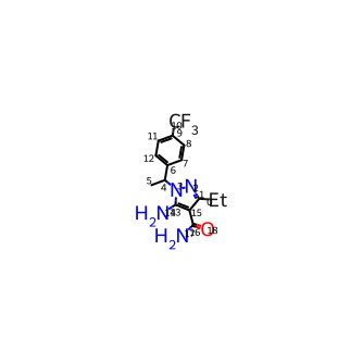 CCc1nn(C(C)c2ccc(C(F)(F)F)cc2)c(N)c1C(N)=O